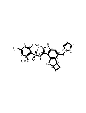 COc1cc(C)nc(OC)c1S(=O)(=O)Nc1noc2cc(Cn3cccn3)c3c(c12)OC1CCC31